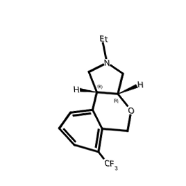 CCN1C[C@@H]2OCc3c(cccc3C(F)(F)F)[C@@H]2C1